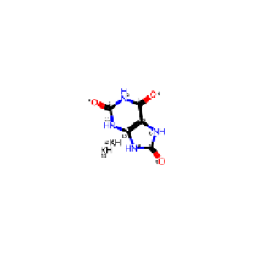 O=c1[nH]c(=O)c2[nH]c(=O)[nH]c2[nH]1.[KH].[KH]